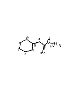 COC(=O)CC1C[CH]CCC1